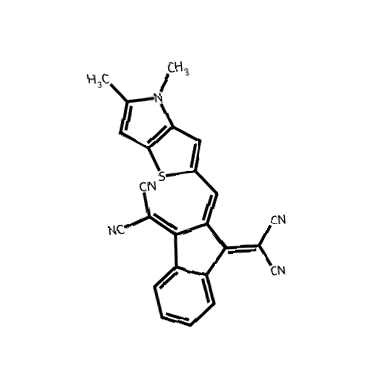 Cc1cc2sc(C=C3C(=C(C#N)C#N)c4ccccc4C3=C(C#N)C#N)cc2n1C